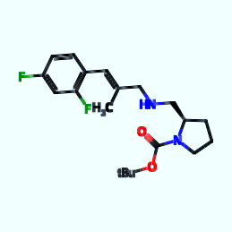 C/C(=C\c1ccc(F)cc1F)CNC[C@H]1CCCN1C(=O)OC(C)(C)C